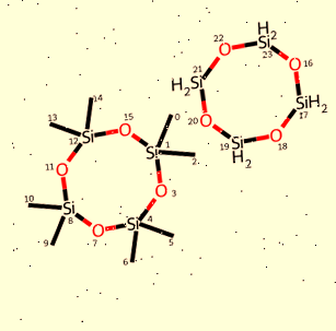 C[Si]1(C)O[Si](C)(C)O[Si](C)(C)O[Si](C)(C)O1.O1[SiH2]O[SiH2]O[SiH2]O[SiH2]1